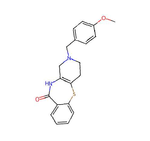 COc1ccc(CN2CCC3=C(C2)NC(=O)c2ccccc2S3)cc1